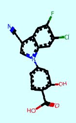 N#Cc1cn(-c2ccc(C(=O)O)c(O)c2)c2cc(Cl)c(F)cc12